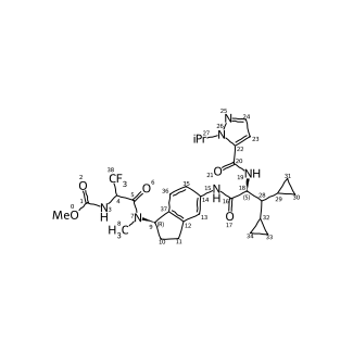 COC(=O)NC(C(=O)N(C)[C@@H]1CCc2cc(NC(=O)[C@@H](NC(=O)c3ccnn3C(C)C)C(C3CC3)C3CC3)ccc21)C(F)(F)F